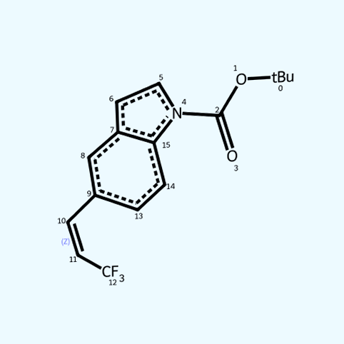 CC(C)(C)OC(=O)n1ccc2cc(/C=C\C(F)(F)F)ccc21